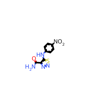 NC(=O)c1nnsc1Nc1ccc([N+](=O)[O-])cc1